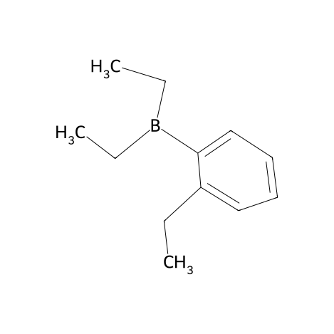 CCB(CC)c1ccccc1CC